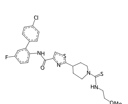 COCCNC(=S)N1CCC(c2nc(C(=O)Nc3ccc(F)cc3-c3ccc(Cl)cc3)cs2)CC1